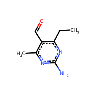 CCc1nc(N)nc(C)c1C=O